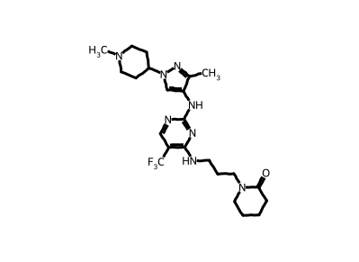 Cc1nn(C2CCN(C)CC2)cc1Nc1ncc(C(F)(F)F)c(NCCCN2CCCCC2=O)n1